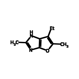 CCc1c(C)oc2nc(C)[nH]c12